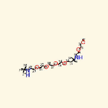 COCCOCCNC(C)(C)CCOCCOCCOCCOCCNC(C)(C)C